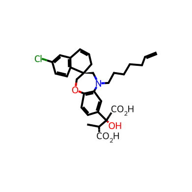 C=CCCCCCN1C[C@@]2(CC=Cc3cc(Cl)ccc32)COc2ccc(C(O)(C(=O)O)C(C)C(=O)O)cc21